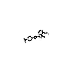 CC(=O)N1CCN([C@H]2C[C@@H](c3nc(I)c4c(N)nccn43)C2)CC1